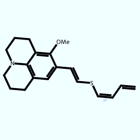 C=C/C=C\SC=Cc1cc2c3c(c1OC)CCCN3CCC2